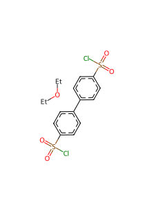 CCOCC.O=S(=O)(Cl)c1ccc(-c2ccc(S(=O)(=O)Cl)cc2)cc1